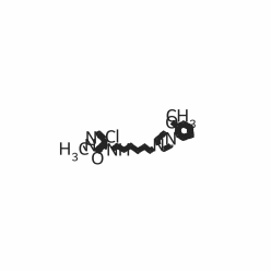 COc1ccccc1N1CCN(CCCCCCNc2c(Cl)cnn(C)c2=O)CC1